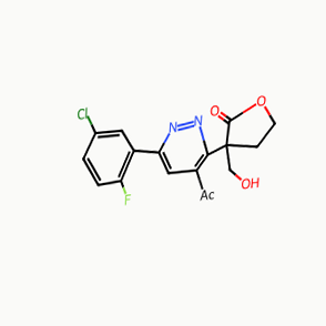 CC(=O)c1cc(-c2cc(Cl)ccc2F)nnc1C1(CO)CCOC1=O